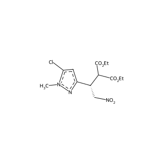 CCOC(=O)C(C(=O)OCC)[C@H](C[N+](=O)[O-])c1cc(Cl)n(C)n1